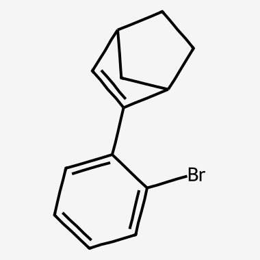 Brc1ccccc1C1=CC2CCC1C2